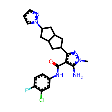 Cn1nc(C2CC3CC(n4cccn4)CC3C2)c(C(=O)Nc2ccc(F)c(Cl)c2)c1N